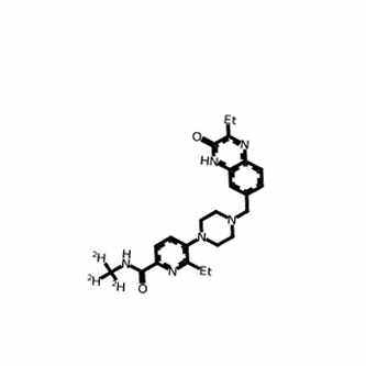 [2H]C([2H])([2H])NC(=O)c1ccc(N2CCN(Cc3ccc4nc(CC)c(=O)[nH]c4c3)CC2)c(CC)n1